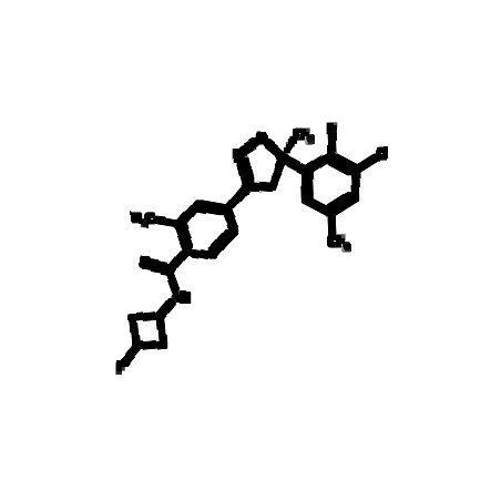 Cc1cc(C2=NO[C@](c3cc(C(F)(F)F)cc(Cl)c3F)(C(F)(F)F)C2)ccc1C(=O)NC1CC(F)C1